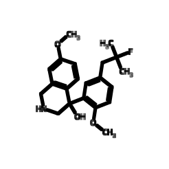 COc1ccc2c(c1)CNCC2(O)c1cc(CC(C)(C)F)ccc1OC